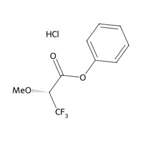 CO[C@H](C(=O)Oc1ccccc1)C(F)(F)F.Cl